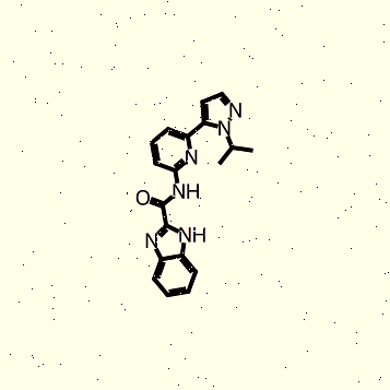 CC(C)n1nccc1-c1cccc(NC(=O)c2nc3ccccc3[nH]2)n1